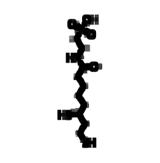 O=C(CCCCC(S)CCS)NCCS(=O)(=O)O